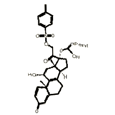 CCCCCC(O)O[C@]1(C(=O)COS(=O)(=O)c2ccc(C)cc2)CC[C@H]2C3=C([C@@H](O)C[C@@]21C)[C@@]1(C)C=CC(=O)C=C1CC3